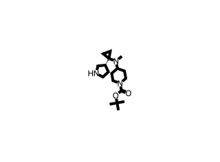 CN(C1CCN(C(=O)OC(C)(C)C)CC1)C1([C@@H]2CCNC2)CC1